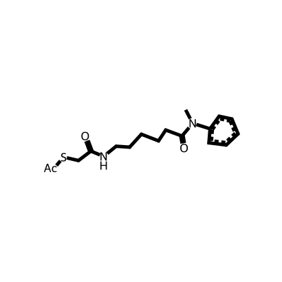 CC(=O)SCC(=O)NCCCCCC(=O)N(C)c1ccccc1